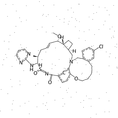 CO[C@H]1/C=C/C[C@H](C)C(Nc2ncccn2)/[SH](=O)=N\C(=O)c2ccc3c(c2)N(Cc2ccc(Cl)cc2CCCCO3)C[C@@H]2CC[C@H]21